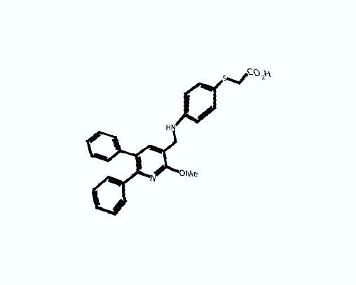 COc1nc(-c2ccccc2)c(-c2ccccc2)cc1CNc1ccc(SCC(=O)O)cc1